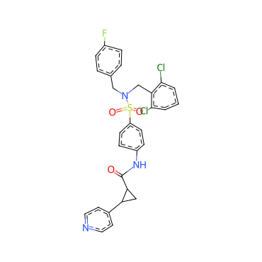 O=C(Nc1ccc(S(=O)(=O)N(Cc2ccc(F)cc2)Cc2c(Cl)cccc2Cl)cc1)C1CC1c1ccncc1